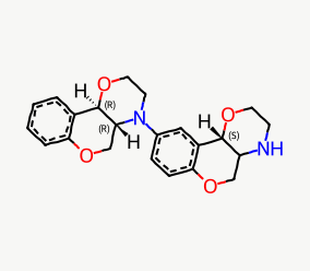 c1ccc2c(c1)OC[C@@H]1[C@@H]2OCCN1c1ccc2c(c1)[C@@H]1OCCNC1CO2